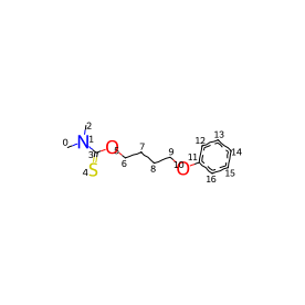 CN(C)C(=S)OCCCCOc1ccccc1